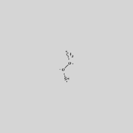 COOS